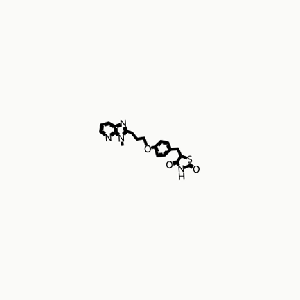 Cn1c(CCCOc2ccc(CC3SC(=O)NC3=O)cc2)nc2cccnc21